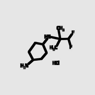 CC(C)(NC1CCC(N)CC1)C(F)F.Cl